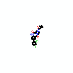 CC(C)(C)CC(=O)N1CCN2C(=O)c3cc(-c4ccc(Cl)cc4Cl)ccc3NC(=O)C2C1